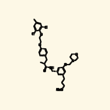 COCCCc1cc(CNC(=O)C(C)Cc2ccc(OCCOc3c(Cl)cc(C)cc3Cl)cc2)cc(OCN2CCOCC2)c1